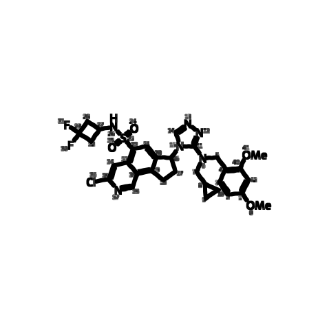 COc1ccc(CN(CC2CC2)c2nncn2C2CCc3c2cc(S(=O)(=O)NC2CC(F)(F)C2)c2cc(Cl)ncc32)c(OC)c1